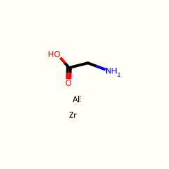 NCC(=O)O.[Al].[Zr]